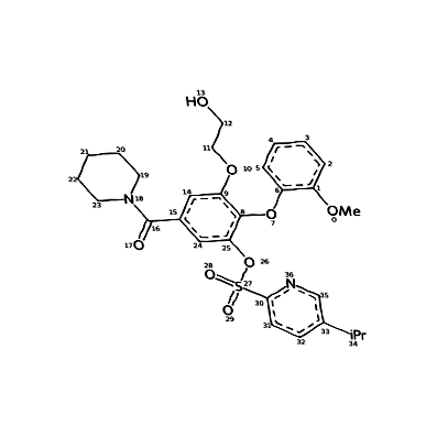 COc1ccccc1Oc1c(OCCO)cc(C(=O)N2CCCCC2)cc1OS(=O)(=O)c1ccc(C(C)C)cn1